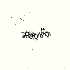 Cc1ccc(S(=O)(=O)N2CCCC(CC(=O)NN3CCCCC3)C2)cc1F